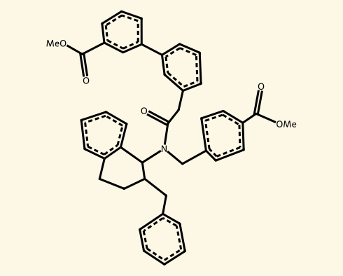 COC(=O)c1ccc(CN(C(=O)Cc2cccc(-c3cccc(C(=O)OC)c3)c2)C2c3ccccc3CCC2Cc2ccccc2)cc1